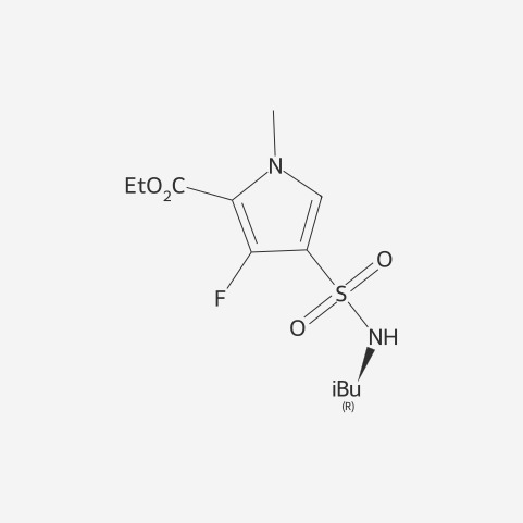 CCOC(=O)c1c(F)c(S(=O)(=O)N[C@H](C)CC)cn1C